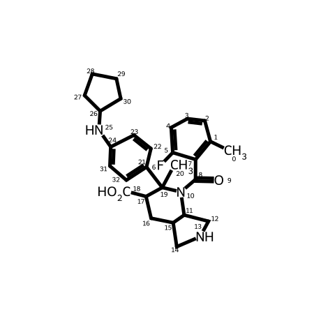 Cc1cccc(F)c1C(=O)N1C2CNCC2CC(C(=O)O)C1(C)c1ccc(NC2CCCC2)cc1